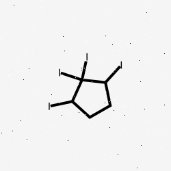 I[C]1CCC(I)C1(I)I